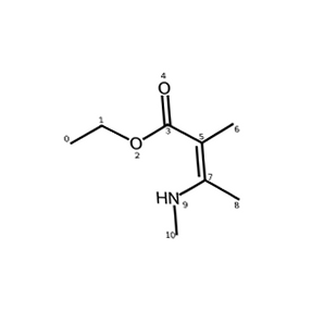 CCOC(=O)C(C)=C(C)NC